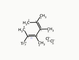 CC(C)=C(C)/C(C)=[C](\C)[Ti+2].[Cl-].[Cl-]